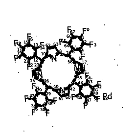 Fc1c(F)c(F)c(-c2c3nc(c(-c4c(F)c(F)c(F)c(F)c4F)c4ccc([nH]4)c(-c4c(F)c(F)c(F)c(F)c4F)c4nc(c(-c5c(F)c(F)c(F)c(F)c5F)c5ccc2[nH]5)C=C4)C=C3)c(F)c1F.[Pd]